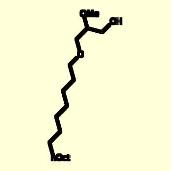 CCCCCCCCCCCCCCCOCC(CO)OC